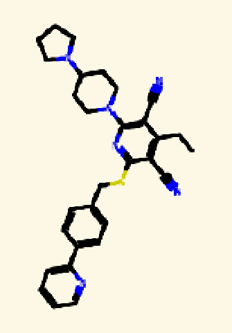 CCc1c(C#N)c(SCc2ccc(-c3ccccn3)cc2)nc(N2CCC(N3CCCC3)CC2)c1C#N